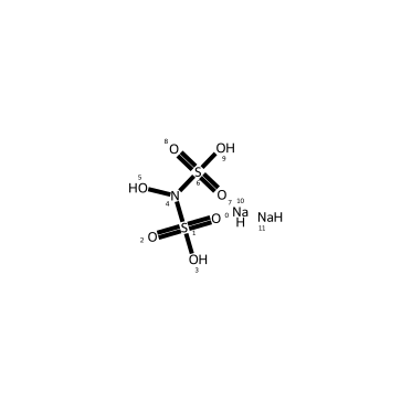 O=S(=O)(O)N(O)S(=O)(=O)O.[NaH].[NaH]